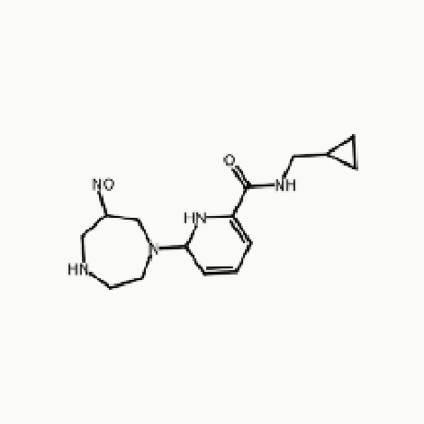 O=NC1CNCCN(C2C=CC=C(C(=O)NCC3CC3)N2)C1